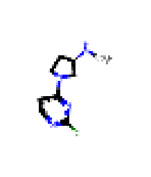 O=C(O)N[C@@H]1CCN(c2ccnc(Cl)n2)C1